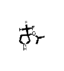 CC(C)OC1(C(F)(F)F)CCNC1